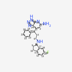 Nc1cc(C(CCN[C@H]2CCc3ccc(F)cc32)c2ccccc2)c2nn[nH]c2n1